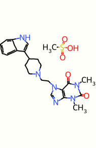 CS(=O)(=O)O.Cn1c(=O)c2c(ncn2CCN2CCC(c3c[nH]c4ccccc34)CC2)n(C)c1=O